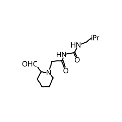 CC(C)CNC(=O)NC(=O)CN1CCCCC1C=O